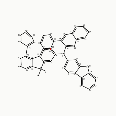 CC1(C)c2cc(N(c3ccc4c(c3)oc3ccccc34)c3cc4ccccc4cc3-c3ccccc3)ccc2-c2c(-c3ccccc3)cccc21